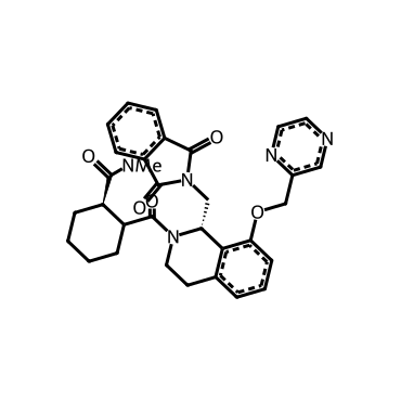 CNC(=O)[C@@H]1CCCCC1C(=O)N1CCc2cccc(OCc3cnccn3)c2[C@H]1CN1C(=O)c2ccccc2C1=O